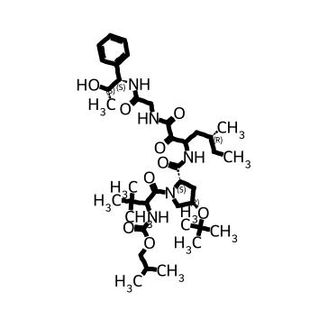 CC[C@@H](C)CC(NC(=O)[C@@H]1C[C@@H](OC(C)(C)C)CN1C(=O)C(NC(=O)OCC(C)C)C(C)(C)C)C(=O)C(=O)NCC(=O)N[C@@H](c1ccccc1)[C@H](C)O